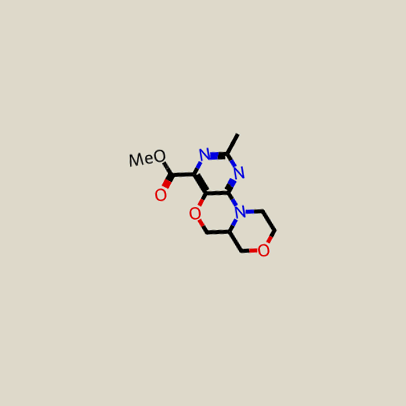 COC(=O)c1nc(C)nc2c1OCC1COCCN21